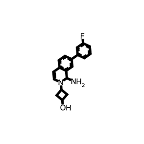 NC1c2cc(-c3cccc(F)c3)ccc2C=CN1C1CC(O)C1